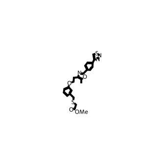 COC(=O)CSCc1cccc(OCCc2nc(-c3ccc(-c4csnn4)cc3)oc2C)c1